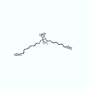 CCCCCCCCCCCCCCCCCC[N+](C)(C)CCCCCCCCCCCCCCCCCC.CCC[O-]